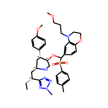 CC[C@H](C[C@H]1C[C@H](c2ccc(OC)cc2)[C@@H](OC(c2ccc3c(c2)N(CCCOC)CCO3)S(=O)(=O)c2ccc(C)cc2)CN1)c1nnn(C)n1